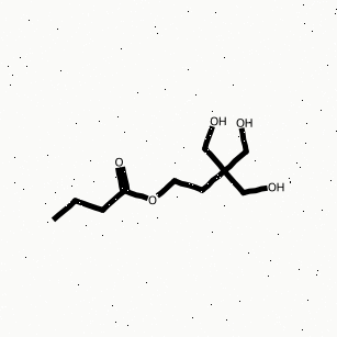 CCCC(=O)OCCC(CO)(CO)CO